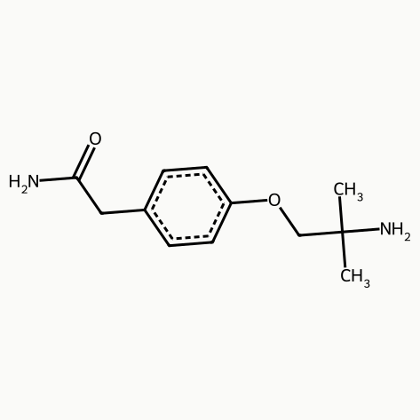 CC(C)(N)COc1ccc(CC(N)=O)cc1